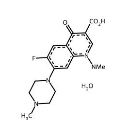 CNn1cc(C(=O)O)c(=O)c2cc(F)c(N3CCN(C)CC3)cc21.O